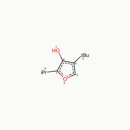 CC(C)c1occ(C(C)(C)C)c1O